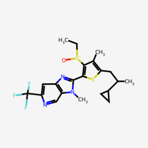 CC[S+]([O-])c1c(-c2nc3cc(C(F)(F)F)ncc3n2C)sc(CC(C)C2CC2)c1C